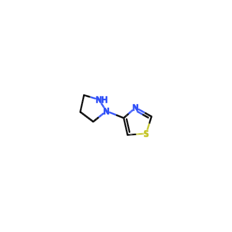 c1nc(N2CCCN2)cs1